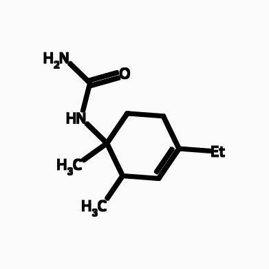 CCC1=CC(C)C(C)(NC(N)=O)CC1